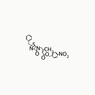 CC(=CC(=O)OCc1ccc([N+](=O)[O-])cc1)CN1C(=O)C2N=C(Cc3ccccc3)SC21